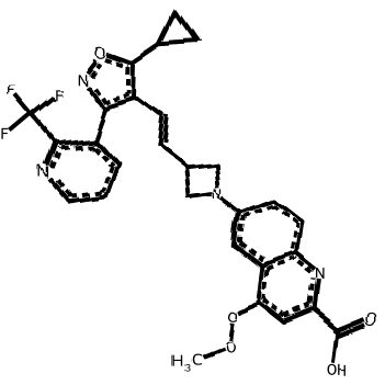 COOc1cc(C(=O)O)nc2ccc(N3CC(/C=C/c4c(-c5cccnc5C(F)(F)F)noc4C4CC4)C3)cc12